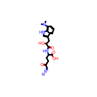 CN(C)c1cccc2c(CC(O)C(=O)NC(CCC(=O)C=[N+]=[N-])C(=O)O)c[nH]c12